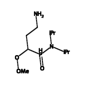 COOC(CCN)[PH](=O)N(C(C)C)C(C)C